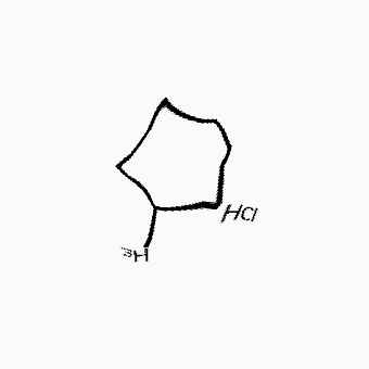 Cl.[3H]C1CCCCC1